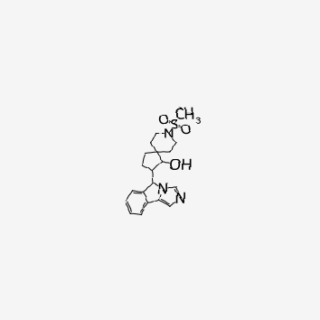 CS(=O)(=O)N1CCC2(CCC(C3c4ccccc4-c4cncn43)C2O)CC1